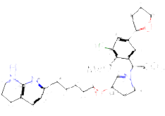 COc1c(F)cc([C@H]2CCCO2)cc1[C@@H](C(=O)O)N1CC[C@@H](OCCCCCc2ccc3c(n2)NCCC3)C1